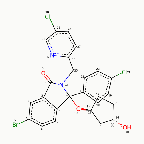 O=C1c2cc(Br)ccc2C(O[C@H]2CC[C@H](O)C2)(c2ccc(Cl)cc2)N1Cc1ccc(Cl)cn1